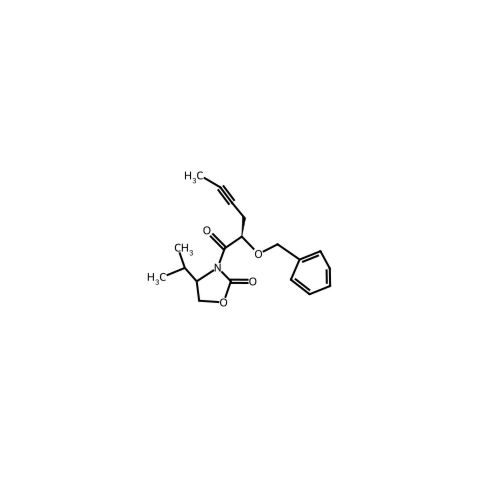 CC#CC[C@@H](OCc1ccccc1)C(=O)N1C(=O)OCC1C(C)C